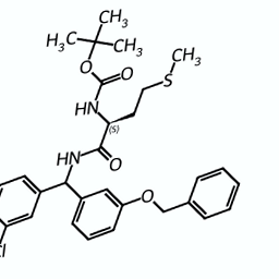 CSCC[C@H](NC(=O)OC(C)(C)C)C(=O)NC(c1cccc(Cl)c1)c1cccc(OCc2ccccc2)c1